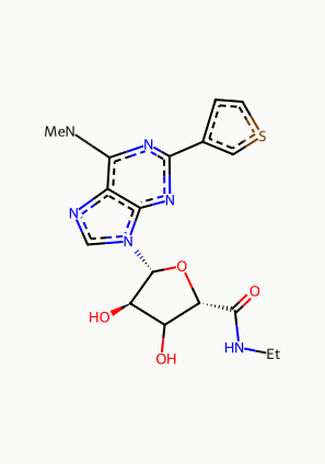 CCNC(=O)[C@H]1O[C@@H](n2cnc3c(NC)nc(-c4ccsc4)nc32)[C@H](O)C1O